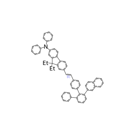 CCC1(CC)c2cc(/C=C/c3ccc(-c4c(-c5ccccc5)cccc4-c4ccc5ccccc5c4)cc3)ccc2-c2ccc(N(c3ccccc3)c3ccccc3)cc21